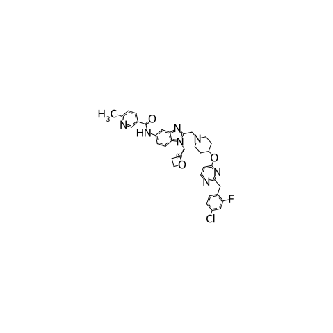 Cc1ccc(C(=O)Nc2ccc3c(c2)nc(CN2CCC(Oc4ccnc(Cc5ccc(Cl)cc5F)n4)CC2)n3C[C@@H]2CCO2)cn1